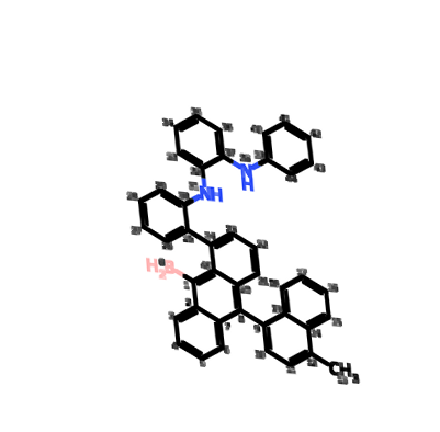 Bc1c2ccccc2c(-c2ccc(C)c3ccccc23)c2cccc(-c3ccccc3Nc3ccccc3Nc3ccccc3)c12